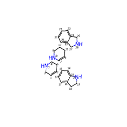 C1=CCNCC1.C1=CNCCC1.c1ccc2c(c1)CCN2.c1ccc2c(c1)CNC2